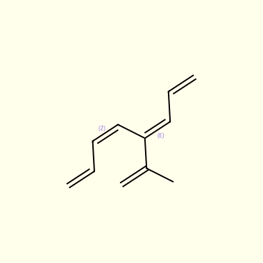 C=C/C=C\C(=C/C=C)C(=C)C